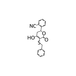 N#Cc1ccccc1C1CC(O)=C(SCc2ccccc2)C(=O)O1